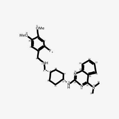 COc1cc(F)c(CNC[C@H]2CC[C@@H](Nc3nc(N(C)C)c4ccccc4n3)CC2)cc1OC